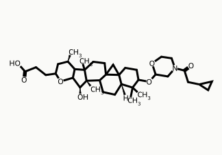 C[C@@H]1CC(CCC(=O)O)OC2C1C1(C)CCC34CC35CCC(OC3CN(C(=O)CC6CC6)CCO3)C(C)(C)[C@@H]5CCC4[C@]1(C)[C@H]2O